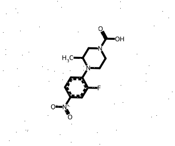 CC1CN(C(=O)O)CCN1c1ccc([N+](=O)[O-])cc1F